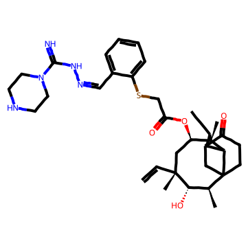 C=C[C@]1(C)C[C@@H](OC(=O)CSc2ccccc2/C=N\NC(=N)N2CCNCC2)[C@]2(C)C(C)CC34CC(CCC3=O)(C42)[C@@H](C)[C@@H]1O